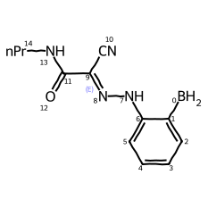 Bc1ccccc1N/N=C(\C#N)C(=O)NCCC